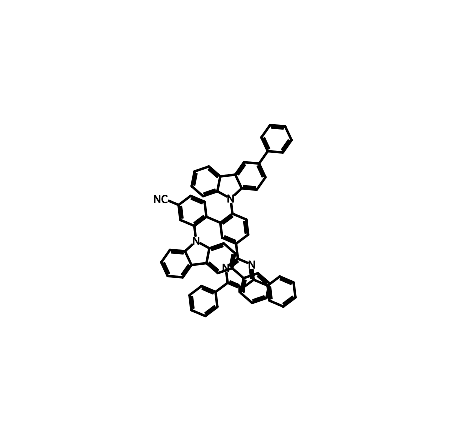 N#Cc1ccc(-c2cc(-c3nc(-c4ccccc4)nc(-c4ccccc4)n3)ccc2-n2c3ccccc3c3cc(-c4ccccc4)ccc32)c(-n2c3ccccc3c3cc(-c4ccccc4)ccc32)c1